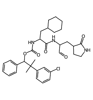 CC(C)(c1cccc(Cl)c1)C(OC(=O)NC(CC1CCCCC1)C(=O)NC(C=O)CC1CCNC1=O)c1ccccc1